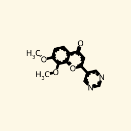 COc1ccc2c(=O)cc(-c3cncnc3)oc2c1OC